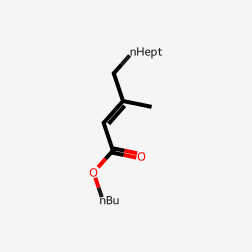 CCCCCCCC/C(C)=C/C(=O)OCCCC